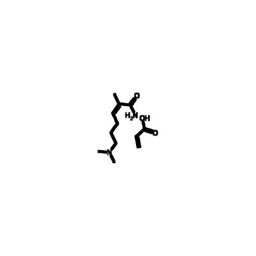 C=CC(=O)O.CC(=CCCCN(C)C)C(N)=O